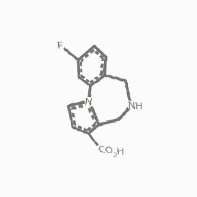 O=C(O)c1ccn2c1CNCc1ccc(F)cc1-2